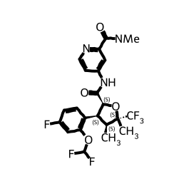 CNC(=O)c1cc(NC(=O)[C@H]2O[C@](C)(C(F)(F)F)[C@@H](C)[C@H]2c2ccc(F)cc2OC(F)F)ccn1